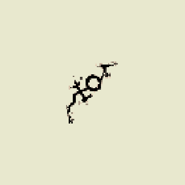 [N-]=[N+]=NCCC(c1ccc(NC(=O)O)cc1)(C(F)(F)F)C(F)(F)F